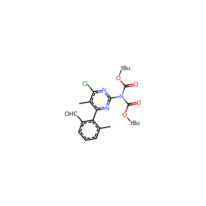 Cc1cccc(C=O)c1-c1nc(N(C(=O)OC(C)(C)C)C(=O)OC(C)(C)C)nc(Cl)c1C